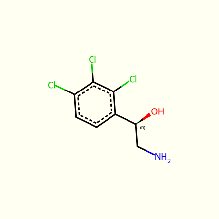 NC[C@H](O)c1ccc(Cl)c(Cl)c1Cl